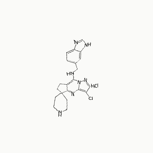 Cl.Clc1cnn2c(NCc3ccc4nc[nH]c4c3)c3c(nc12)C1(CCNCC1)CC3